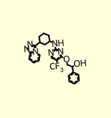 OC(COc1nc(NC2CCCC(c3nnc4ccccn34)C2)ncc1C(F)(F)F)c1ccccc1